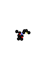 c1ccc(-c2ccc(N(c3cccc(C4(c5ccccc5)c5ccccc5-c5ccccc54)c3)c3ccc4c(ccc5ccc6c7ccccc7sc6c54)c3)cc2)cc1